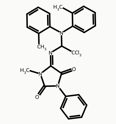 Cc1ccccc1N(c1ccccc1C)C(N=C1C(=O)N(c2ccccc2)C(=O)N1C)C(Cl)(Cl)Cl